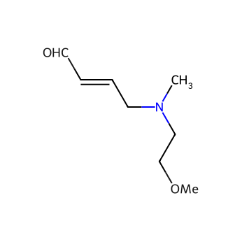 COCCN(C)CC=CC=O